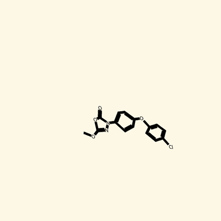 COc1nn(-c2ccc(Oc3ccc(Cl)cc3)cc2)c(=O)o1